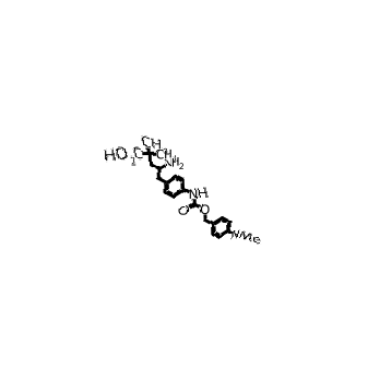 CNc1ccc(COC(=O)Nc2ccc(CC(N)CC(C)(C)C(=O)O)cc2)cc1